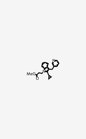 COC(=O)CCn1c(C2CC2)c(Cc2cccnc2)c2ccccc21